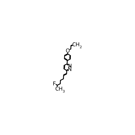 C=CCOc1ccc(-c2ccc(C=CCCCC(C)F)nn2)cc1